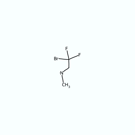 C[N]CC(F)(F)Br